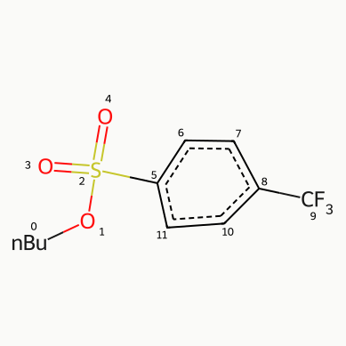 CCCCOS(=O)(=O)c1ccc(C(F)(F)F)cc1